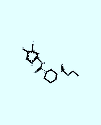 CCOC(=O)[C@@H]1CCC[C@H](C(=O)Nc2cc(I)c(C)cn2)C1